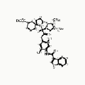 CCOC(=O)[C@H]1CC[C@H](OC(C(=O)Cc2cc(Cl)c(NC(=O)c3coc4ccccc34)cc2Cl)(N2CCCC2)N2C[C@H](OC)[C@H](OC)C2)CC1